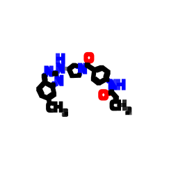 C=CC(=O)Nc1ccc(C(=O)N2CC[C@H](Nc3ncc4ccc(C)cc4n3)C2)cc1